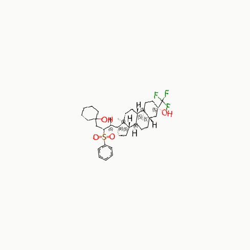 C[C@H](C(CC1(O)CCCCC1)S(=O)(=O)c1ccccc1)[C@H]1CC[C@H]2[C@@H]3CC[C@H]4C[C@](O)(C(F)(F)F)CC[C@]4(C)[C@H]3CC[C@]12C